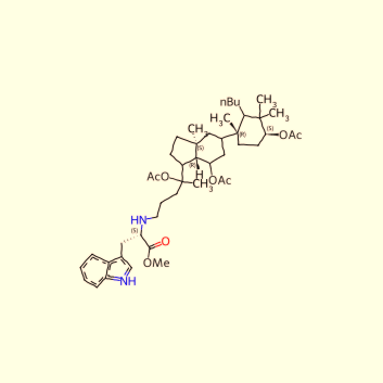 CCCCC1C(C)(C)[C@@H](OC(C)=O)CC[C@]1(C)C1CC(OC(C)=O)[C@@H]2C(C(C)(CCCN[C@@H](Cc3c[nH]c4ccccc34)C(=O)OC)OC(C)=O)CC[C@@]2(C)C1